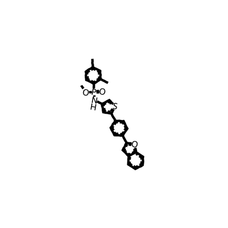 COP(=O)(Nc1csc(-c2ccc(-c3cc4ccccc4o3)cc2)c1)c1ccc(C)cc1C